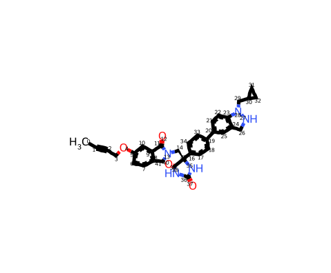 CC#CCOc1ccc2c(c1)C(=O)N(C[C@@]1(c3ccc(-c4ccc5c(c4)CNN5CC4CC4)cc3)NC(=O)NC1=O)C2